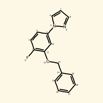 Fc1ccc(-n2cccn2)cc1OCc1ccccc1